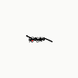 CCCCCCCCCc1ccc(-c2ncc(C(=O)Oc3ccc(C(=O)OC(CCCCCC)C(F)(F)F)cc3)cn2)cc1